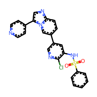 O=S(=O)(Nc1cc(-c2ccc3ncc(-c4ccncc4)n3c2)cnc1Cl)c1ccccc1